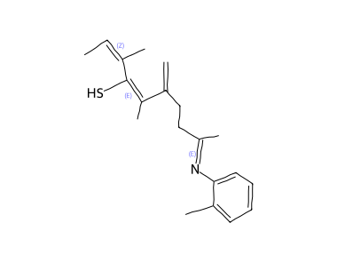 C=C(CC/C(C)=N/c1ccccc1C)/C(C)=C(S)\C(C)=C/C